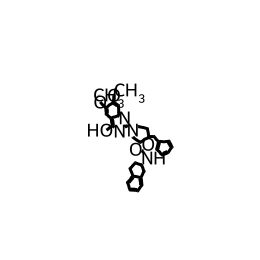 COc1cc2nc(N3CCC(Cc4ccccc4)(OC(=O)NC4CCc5ccccc5C4)CC3)nc(O)c2cc1OC